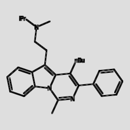 CCCCc1c(-c2ccccc2)nc(C)n2c1c(CCN(C)C(C)C)c1ccccc12